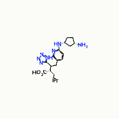 CC(C)C[C@H](C(=O)O)[C@H](Cc1ccc(N[C@@H]2CC[C@H](N)C2)nc1)c1nnn[nH]1